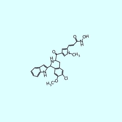 COc1cc2c(cc1Cl)CC(C(=O)c1cc(/C=C/C(=O)NO)n(C)c1)NC2c1cc2ccccc2[nH]1